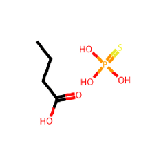 CCCC(=O)O.OP(O)(O)=S